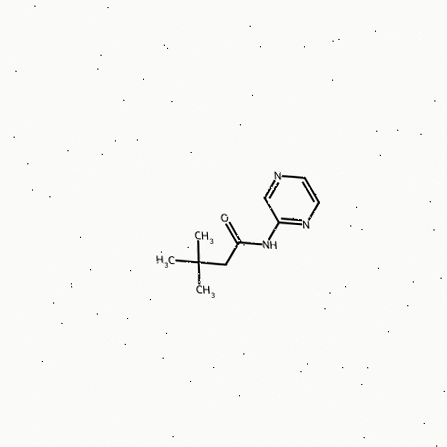 CC(C)(C)CC(=O)Nc1cnccn1